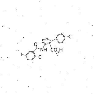 O=C(Nc1scc(-c2ccc(Cl)cc2)c1C(=O)O)c1cc(I)ccc1Cl